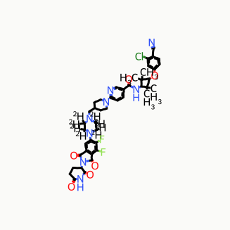 [2H]C1([2H])N(CC2CCN(c3ccc(C(=O)NC4C(C)(C)C(Oc5ccc(C#N)c(Cl)c5)C4(C)C)cn3)CC2)C([2H])([2H])C([2H])([2H])N(c2cc3c(c(F)c2F)C(=O)N(C2CCC(=O)NC2=O)C3=O)C1([2H])[2H]